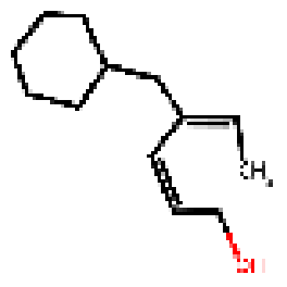 C/C=C(\C=C/CO)CC1CCCCC1